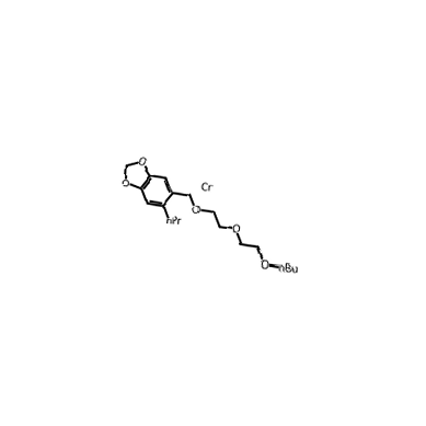 CCCCOCCOCCOCc1cc2c(cc1CCC)OCO2.[Cr]